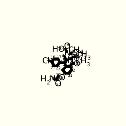 CC(C)Cn1c(CN(C(=O)O)C(C)(C)C)c(-c2ccc(Cl)cc2)c2cc(OCC(N)=O)ccc2c1=O